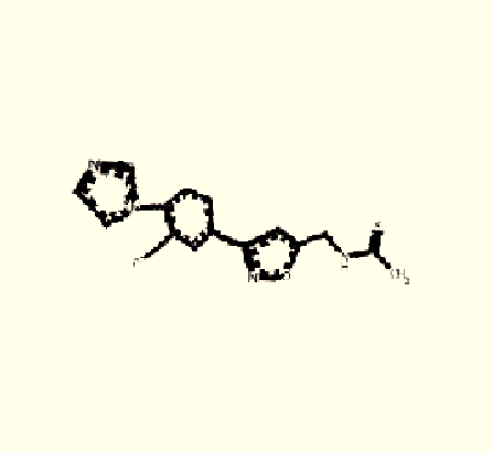 CC(=S)NCc1cc(-c2ccc(-n3ccnc3)c(F)c2)no1